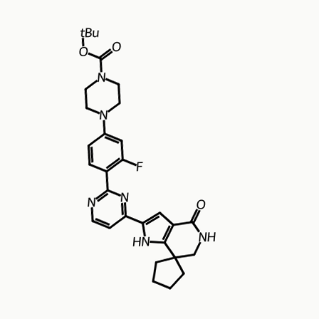 CC(C)(C)OC(=O)N1CCN(c2ccc(-c3nccc(-c4cc5c([nH]4)C4(CCCC4)CNC5=O)n3)c(F)c2)CC1